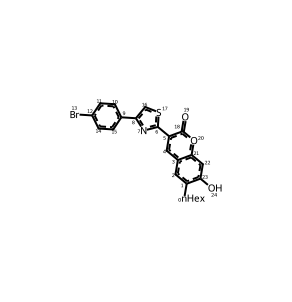 CCCCCCc1cc2cc(-c3nc(-c4ccc(Br)cc4)cs3)c(=O)oc2cc1O